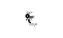 CN(C(=O)CCC(=O)O)c1cc[c]([Ge+3])cc1.[OH-].[OH-].[OH-]